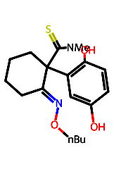 CCCCON=C1CCCCC1(C(=S)NC)c1cc(O)ccc1O